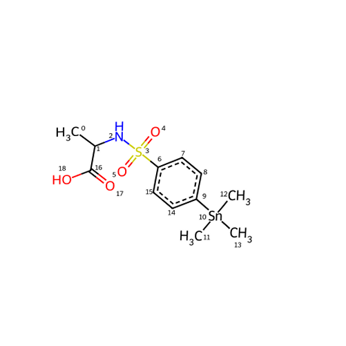 CC(NS(=O)(=O)c1cc[c]([Sn]([CH3])([CH3])[CH3])cc1)C(=O)O